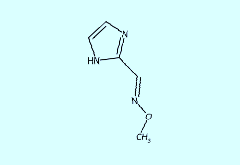 CO/N=C/c1ncc[nH]1